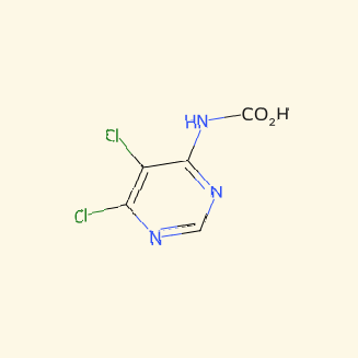 O=C(O)Nc1ncnc(Cl)c1Cl